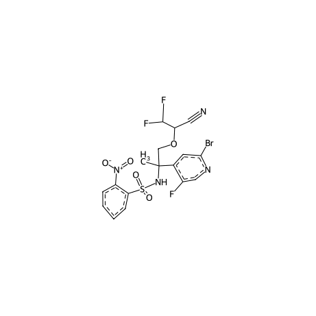 CC(COC(C#N)C(F)F)(NS(=O)(=O)c1ccccc1[N+](=O)[O-])c1cc(Br)ncc1F